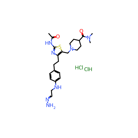 CC(=O)Nc1nc(CCc2ccc(NCC=NN)cc2)c(CN2CCC(C(=O)N(C)C)CC2)s1.Cl.Cl